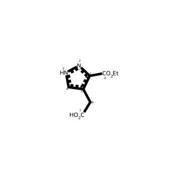 CCOC(=O)c1n[nH]cc1CC(=O)O